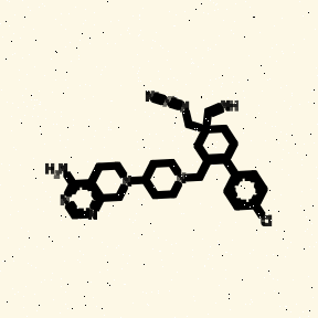 [N-]=[N+]=NCC1(C=N)CCC(c2ccc(Cl)cc2)=C(CN2CCC(N3CCc4c(N)ncnc4C3)CC2)C1